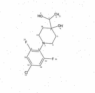 CC(O)C1(O)CCN(c2c(F)cc(Cl)cc2F)CC1